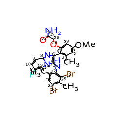 COc1cc(C)c(-c2nc3ccc(F)cn3c2Nc2c(C)cc(Br)c(C)c2Br)c(OCC(N)=O)c1